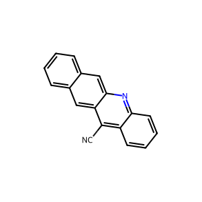 N#Cc1c2ccccc2nc2cc3ccccc3cc12